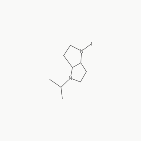 CC(C)N1CCC2C1CCN2I